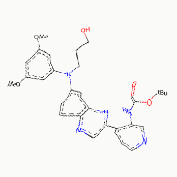 COc1cc(OC)cc(N(CCCO)c2ccc3ncc(-c4ccncc4NC(=O)OC(C)(C)C)nc3c2)c1